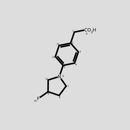 O=C(O)Cc1ccc(N2CCC(F)C2)cc1